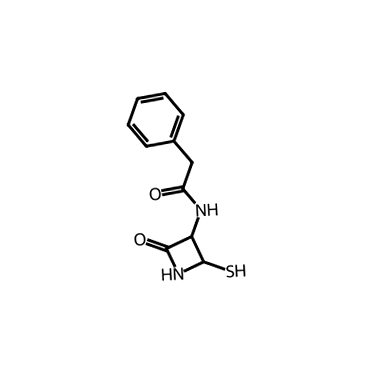 O=C(Cc1ccccc1)NC1C(=O)NC1S